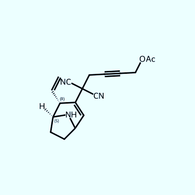 C=C[C@@H]1C(C(C#N)(C#N)CC#CCOC(C)=O)=CC2CC[C@@H]1N2